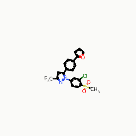 CS(=O)(=O)c1ccc(-n2nc(C(F)(F)F)cc2-c2ccc(-c3ccco3)cc2)cc1Cl